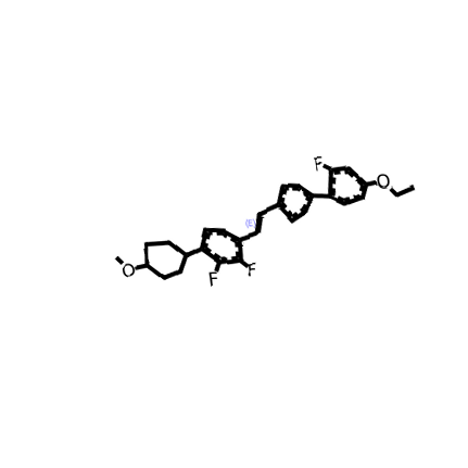 CCOc1ccc(-c2ccc(/C=C/c3ccc(C4CCC(OC)CC4)c(F)c3F)cc2)c(F)c1